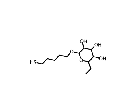 CCC1O[C@@H](OCCCCCS)C(O)C(O)[C@H]1O